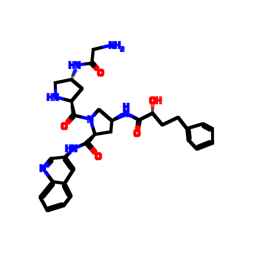 NCC(=O)N[C@H]1CN[C@H](C(=O)N2C[C@@H](NC(=O)[C@H](O)CCc3ccccc3)C[C@H]2C(=O)Nc2cnc3ccccc3c2)C1